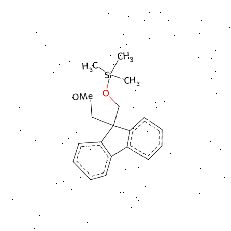 COCC1(CO[Si](C)(C)C)c2ccccc2-c2ccccc21